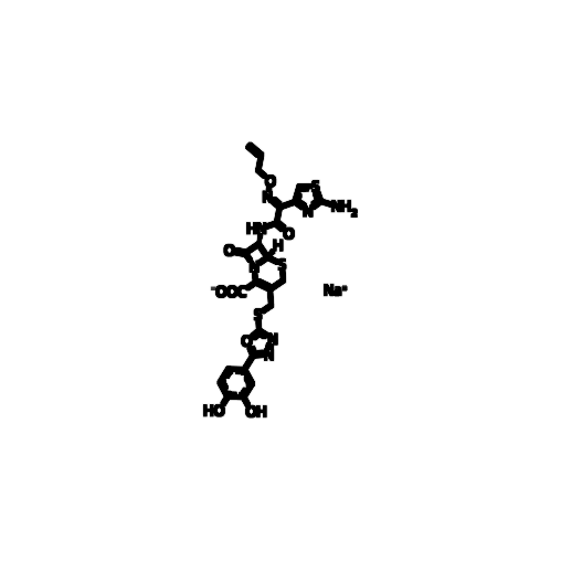 C=CCON=C(C(=O)N[C@@H]1C(=O)N2C(C(=O)[O-])=C(CSc3nnc(-c4ccc(O)c(O)c4)o3)CS[C@@H]12)c1csc(N)n1.[Na+]